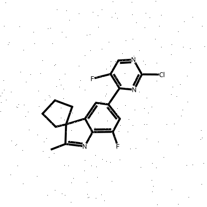 CC1=Nc2c(F)cc(-c3nc(Cl)ncc3F)cc2C12CCCC2